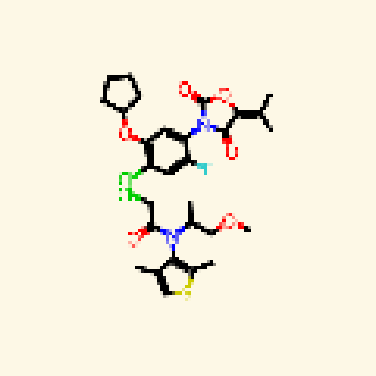 CC(C)=C1OC(=O)N(c2cc(OC3CCCC3)c(Cl)cc2F)C1=O.COCC(C)N(C(=O)CCl)c1c(C)csc1C